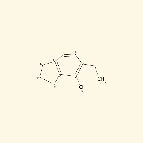 CCc1ccc2c(c1Cl)CCC2